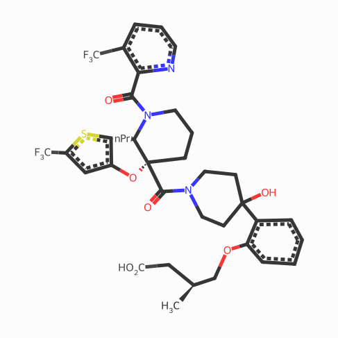 CCC[C@H]1N(C(=O)c2ncccc2C(F)(F)F)CCC[C@@]1(Oc1csc(C(F)(F)F)c1)C(=O)N1CCC(O)(c2ccccc2OC[C@@H](C)CC(=O)O)CC1